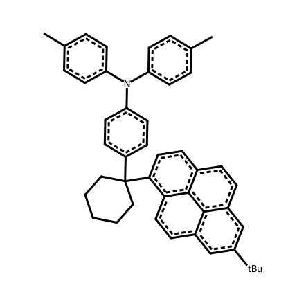 Cc1ccc(N(c2ccc(C)cc2)c2ccc(C3(c4ccc5ccc6cc(C(C)(C)C)cc7ccc4c5c67)CCCCC3)cc2)cc1